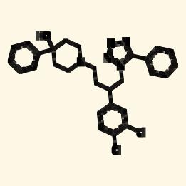 OC1(c2ccccc2)CCN(CCC(Cn2nnnc2-c2ccccc2)c2ccc(Cl)c(Cl)c2)CC1